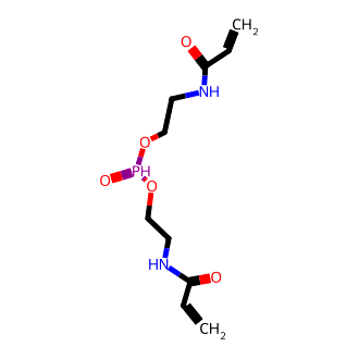 C=CC(=O)NCCO[PH](=O)OCCNC(=O)C=C